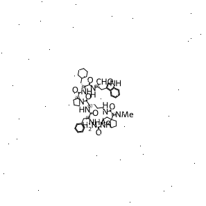 CN[C@H](C(=O)NCCC[C@H](NC(=O)[C@H](Cc1ccccc1)NC(C)=O)C(=O)N1CCC[C@H]1C(=O)N[C@H](CC1CCCCC1)C(=O)N[C@H](C=O)Cc1c[nH]c2ccccc12)C1(CCNC(N)=O)CCCC1